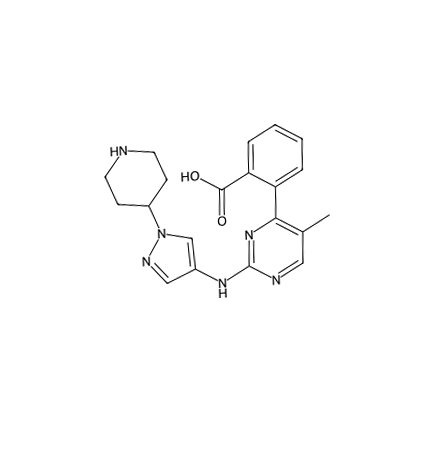 Cc1cnc(Nc2cnn(C3CCNCC3)c2)nc1-c1ccccc1C(=O)O